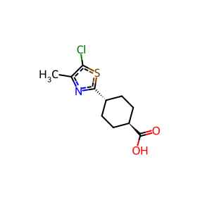 Cc1nc([C@H]2CC[C@H](C(=O)O)CC2)sc1Cl